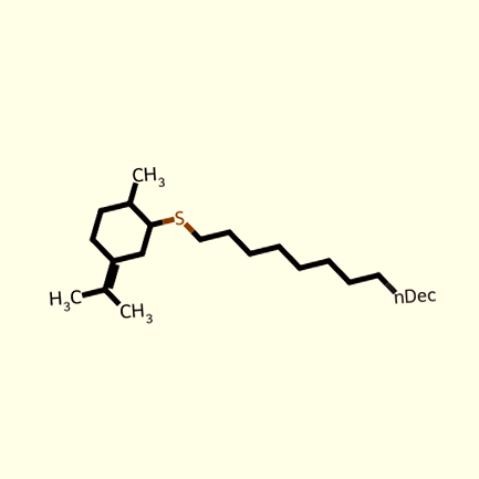 CCCCCCCCCCCCCCCCCCSC1CC(=C(C)C)CCC1C